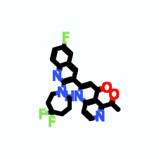 CC(=O)c1nccc2[nH]c(-c3cc4cc(F)ccc4nc3N3CCCC(F)(F)CC3)cc(=O)c12